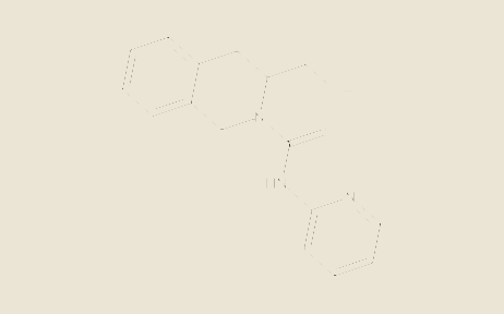 OCC1Cc2ccccc2CN1C(=S)Nc1ccccn1